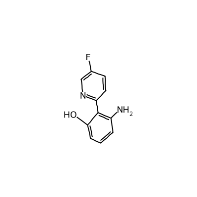 Nc1cccc(O)c1-c1ccc(F)cn1